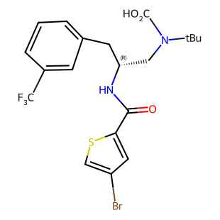 CC(C)(C)N(C[C@@H](Cc1cccc(C(F)(F)F)c1)NC(=O)c1cc(Br)cs1)C(=O)O